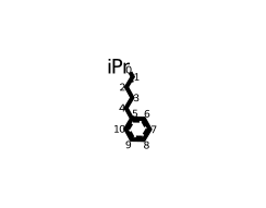 CC(C)[CH]CCCc1ccccc1